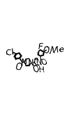 COc1cc(C(=O)N2CC(O)C(N3CCN(C(=O)c4ccc(Cl)cc4)CC3)C2)ccc1F